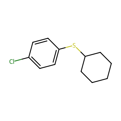 Clc1ccc(SC2CCCCC2)cc1